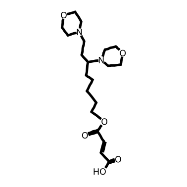 O=C(O)C=CC(=O)OCCCCCC(CCN1CCOCC1)N1CCOCC1